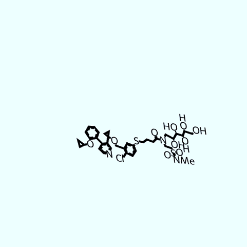 CNS(=O)(=O)CCN(C[C@H](O)[C@@H](O)[C@H](O)[C@H](O)CO)C(=O)CCCSc1ccc(Cl)c(COC2(c3cnccc3-c3ccccc3OC3CC3)CC2)c1